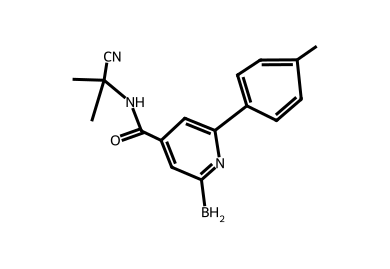 Bc1cc(C(=O)NC(C)(C)C#N)cc(-c2ccc(C)cc2)n1